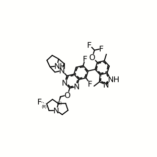 Cc1cc2[nH]nc(C)c2c(-c2c(F)cc3c(N4CC5CCC(C4)N5)nc(OC[C@@]45CCCN4C[C@H](F)C5)nc3c2F)c1OC(F)F